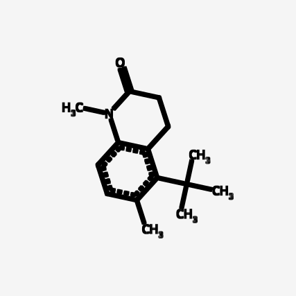 Cc1ccc2c(c1C(C)(C)C)CCC(=O)N2C